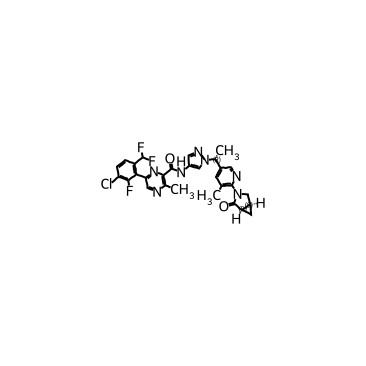 Cc1cc([C@@H](C)n2cc(NC(=O)c3nc(-c4c(C(F)F)ccc(Cl)c4F)cnc3C)cn2)cnc1N1C[C@H]2C[C@H]2C1=O